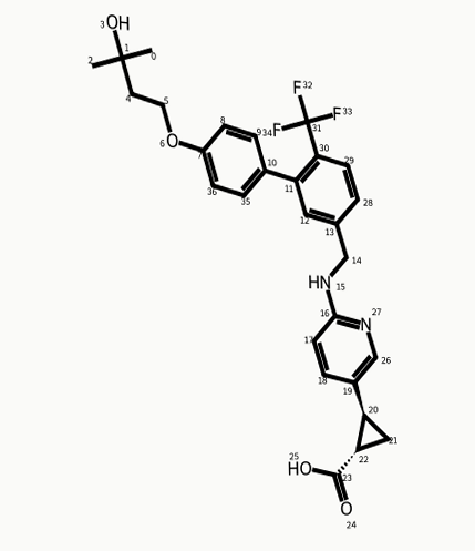 CC(C)(O)CCOc1ccc(-c2cc(CNc3ccc([C@H]4C[C@@H]4C(=O)O)cn3)ccc2C(F)(F)F)cc1